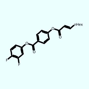 CCCCCC/C=C/C(=O)Oc1ccc(C(=O)Oc2ccc(F)c(F)c2)cc1